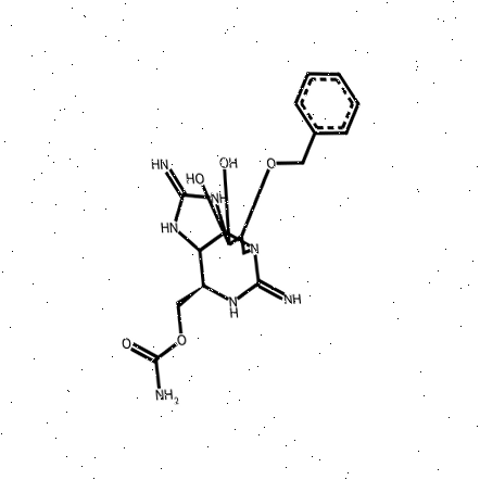 N=C1NC2[C@H](COC(N)=O)NC(=N)N3CC(OCc4ccccc4)C(O)(O)C23N1